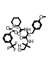 COc1ccc(C[C@H](NC(=O)[C@@H]2CCCCN2S(=O)(=O)c2cccc(C(F)(F)F)c2)C(=O)NC(C)(C)CO)cc1